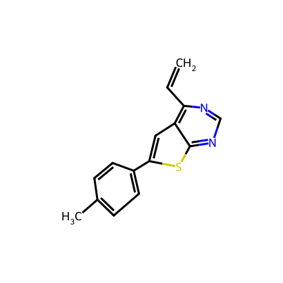 C=Cc1ncnc2sc(-c3ccc(C)cc3)cc12